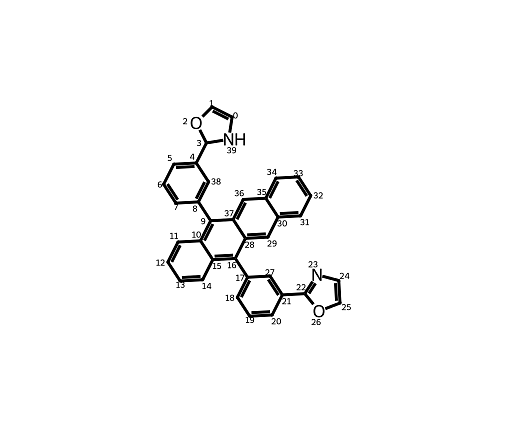 C1=COC(c2cccc(-c3c4ccccc4c(-c4cccc(-c5ncco5)c4)c4cc5ccccc5cc34)c2)N1